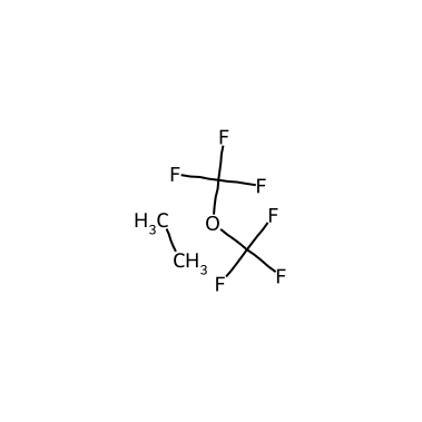 CC.FC(F)(F)OC(F)(F)F